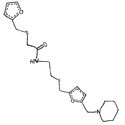 O=C(CSCc1ccco1)NCCSCc1ccc(CN2CCCCC2)o1